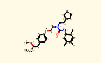 CCOC(Cc1ccc(OCCN(CCC2CCCC2)C(=O)Nc2cc(C)c(C)cc2C)cc1)C(=O)O